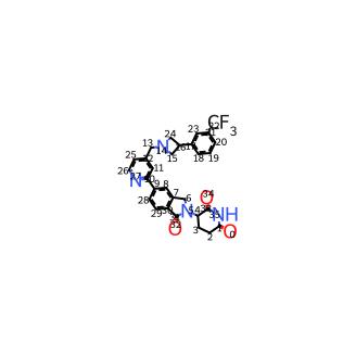 O=C1CCC(N2Cc3cc(-c4cc(CN5CC(c6cccc(C(F)(F)F)c6)C5)ccn4)ccc3C2=O)C(=O)N1